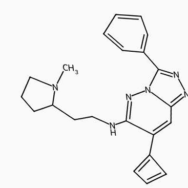 CN1CCCC1CCNc1nn2c(-c3ccccc3)nnc2cc1C1=CC=C1